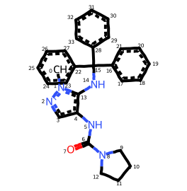 Cn1ncc(NC(=O)N2C[CH]CC2)c1NC(c1ccccc1)(c1ccccc1)c1ccccc1